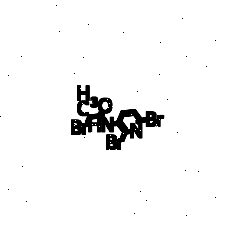 CC(Br)C(=O)Nc1ccc(Br)nc1Br